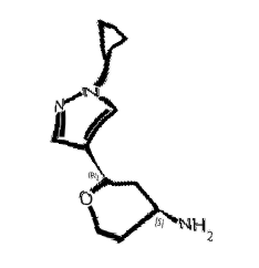 N[C@H]1CCO[C@@H](c2cnn(C3CC3)c2)C1